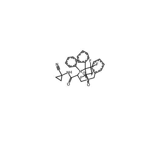 N#CC1(NC(=O)C(CS(=O)(=O)Cc2ccccn2)N(c2ccccc2)C(c2ccccc2)(C(F)(F)F)C(F)(F)F)CC1